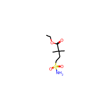 CCOC(=O)C(C)(C)CCS(N)(=O)=O